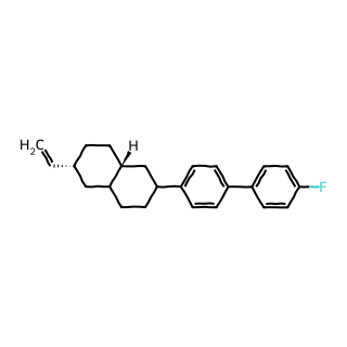 C=C[C@@H]1CC[C@@H]2CC(c3ccc(-c4ccc(F)cc4)cc3)CCC2C1